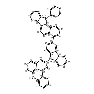 c1ccc(-n2c3ccccc3c3ccc4c(-c5ccc6c(c5)c5ccccc5n6-c5nc6c7c(cccc7n5)Oc5ccccc5-6)cccc4c32)cc1